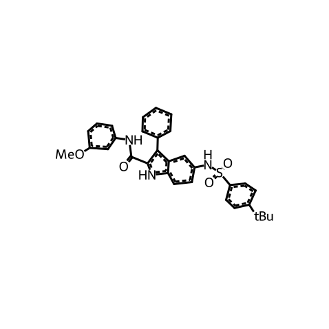 COc1cccc(NC(=O)c2[nH]c3ccc(NS(=O)(=O)c4ccc(C(C)(C)C)cc4)cc3c2-c2ccccc2)c1